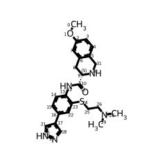 COc1ccc2c(c1)C[C@@H](C(=O)Nc1ccc(-c3cn[nH]c3)cc1SCCN(C)C)NC2